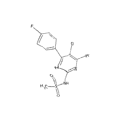 CC(C)c1nc(NS(C)(=O)=O)nc(-c2ccc(F)cc2)c1Cl